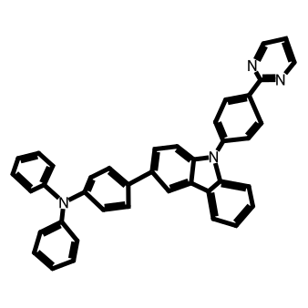 c1ccc(N(c2ccccc2)c2ccc(-c3ccc4c(c3)c3ccccc3n4-c3ccc(-c4ncccn4)cc3)cc2)cc1